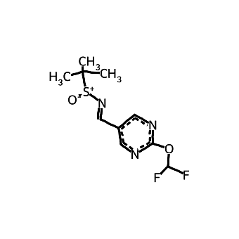 CC(C)(C)[S@@+]([O-])N=Cc1cnc(OC(F)F)nc1